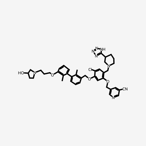 Cc1c(COc2cc(OCc3cncc(C#N)c3)c(CN3CCCC(c4nnn[nH]4)C3)cc2Cl)cccc1-c1cccc(OCCCN2CCC(O)C2)c1C